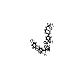 O=C(O)CC1CCC(c2ccc(NC(=O)c3nnc(Nc4ccc(Oc5ccc(Cl)cc5)nc4)o3)cc2)CC1